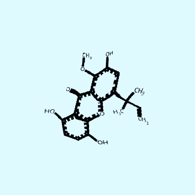 C=CC(C)(C)c1cc(O)c(OC)c2c(=O)c3c(O)ccc(O)c3oc12